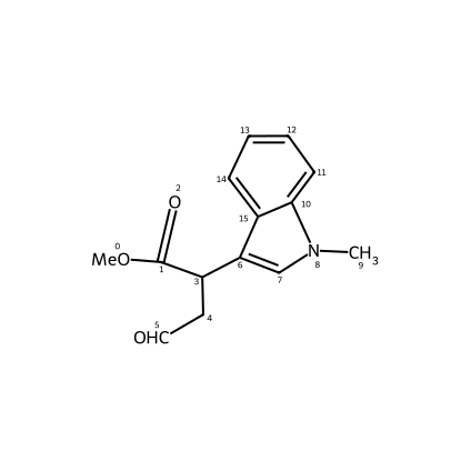 COC(=O)C(CC=O)c1cn(C)c2ccccc12